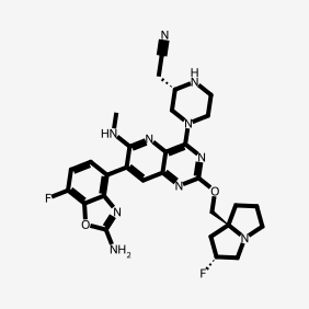 CNc1nc2c(N3CCN[C@@H](CC#N)C3)nc(OC[C@@]34CCCN3C[C@H](F)C4)nc2cc1-c1ccc(F)c2oc(N)nc12